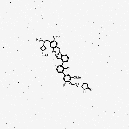 COc1cc(Cn2ncc3c(-c4cccc(-c5cc(F)c(CNC[C@@H]6CCC(=O)N6)c(OC)c5)c4Cl)cccc32)c(C#N)cc1CN(C)[C@H]1C[C@H](C(=O)O)C1